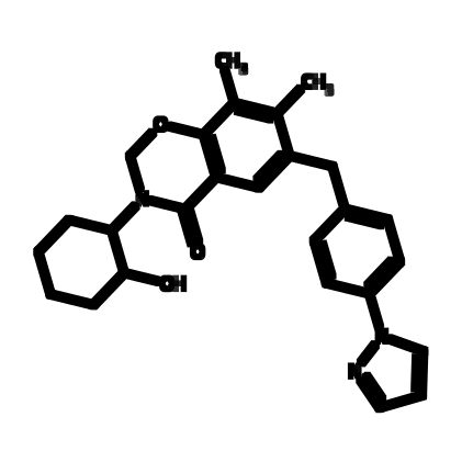 Cc1c(Cc2ccc(-n3cccn3)cc2)cc2c(c1C)OCN(C1CCCCC1O)C2=O